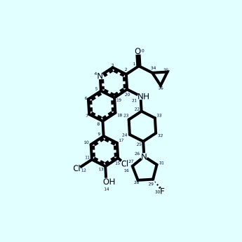 O=C(c1cnc2ccc(-c3cc(Cl)c(O)c(Cl)c3)cc2c1NC1CCC(N2CC[C@@H](F)C2)CC1)C1CC1